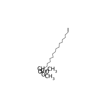 CO[Si](CCCCCCCCCCCCCCCCI)(OC)OC